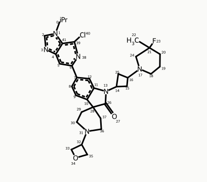 CC(C)n1cnc2cc(-c3ccc4c(c3)N(C3CC(N5CCCC(C)(F)C5)C3)C(=O)C43CCN(C4COC4)CC3)nc(Cl)c21